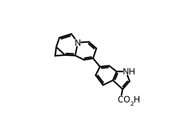 O=C(O)c1c[nH]c2cc(C3=CC4=C5CC5C=CN4C=C3)ccc12